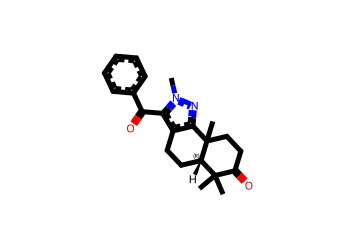 Cn1nc2c(c1C(=O)c1ccccc1)CC[C@H]1C(C)(C)C(=O)CCC21C